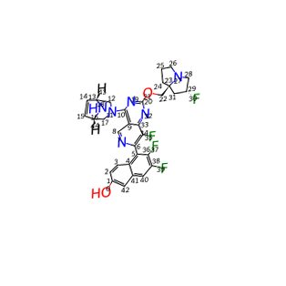 Oc1ccc2c(-c3ncc4c(N5C[C@H]6C=C[C@@H](C5)N6)nc(OC[C@@]56CCCN5C[C@H](F)C6)nc4c3F)c(F)c(F)cc2c1